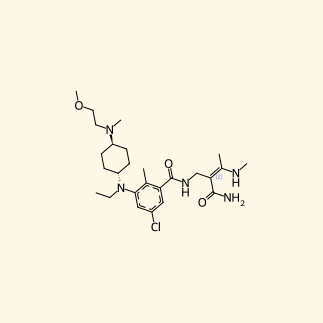 CCN(c1cc(Cl)cc(C(=O)NC/C(C(N)=O)=C(\C)NC)c1C)[C@H]1CC[C@H](N(C)CCOC)CC1